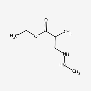 CCOC(=O)C(C)CNNC